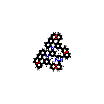 c1ccc(-c2cc(-c3ccccc3)cc(N3c4cc(-c5cc(-c6ccccc6)nc(-c6ccccc6)n5)cc5c4B(c4ccc6cc7ccccc7cc6c43)c3ccc4cc6ccccc6cc4c3N5c3cc(-c4ccccc4)cc(-c4ccccc4)c3)c2)cc1